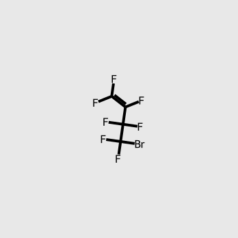 FC(F)=C(F)C(F)(F)C(F)(F)Br